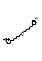 CCc1ccc(CCCCCCOCCCCCCC2[CH]NCCC2)cc1